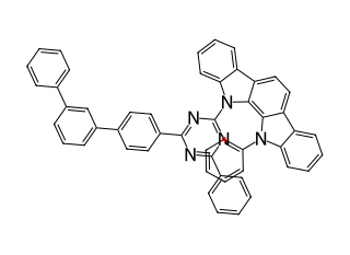 c1ccc(-c2cccc(-c3ccc(-c4nc(-c5ccccc5)nc(-n5c6ccccc6c6ccc7c8ccccc8n(-c8ccccc8)c7c65)n4)cc3)c2)cc1